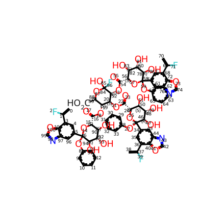 C=C(F)c1cc(C2(Oc3ccccc3)O[C@H](C(=O)O[C@H]3[C@H](OC(=O)[C@H]4OC(Oc5ccccc5)(c5cc(C(=C)F)c6ocnc6c5)[C@H](O)[C@@H](O)[C@@H]4O)[C@@H](OC(=O)[C@H]4OC(Oc5ccccc5)(c5cc(C(=C)F)c6ocnc6c5)[C@H](O)[C@@H](O)[C@@H]4O)C(O)(F)O[C@@H]3C(=O)O)[C@@H](O)[C@H](O)[C@H]2O)cc2ncoc12